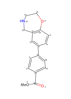 COC(=O)c1ccc(-c2ccc3c(c2)CNCCO3)cc1